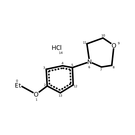 CCOc1ccc(N2CCOCC2)cc1.Cl